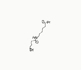 CC(C)CCCC(=O)NCCCCCC(=O)C(C)C